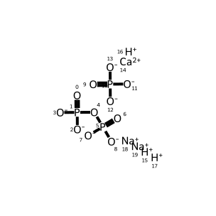 O=P([O-])([O-])OP(=O)([O-])[O-].O=P([O-])([O-])[O-].[Ca+2].[H+].[H+].[H+].[Na+].[Na+]